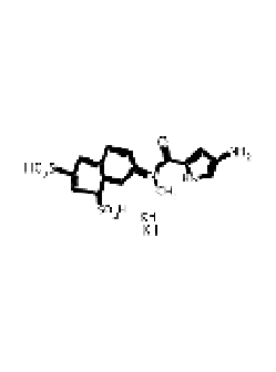 C[N+](C(=O)c1cc(N)c[nH]1)=C1C=CC2=CC(S(=O)(=O)O)=CC(S(=O)(=O)O)C2=C1.[KH].[KH]